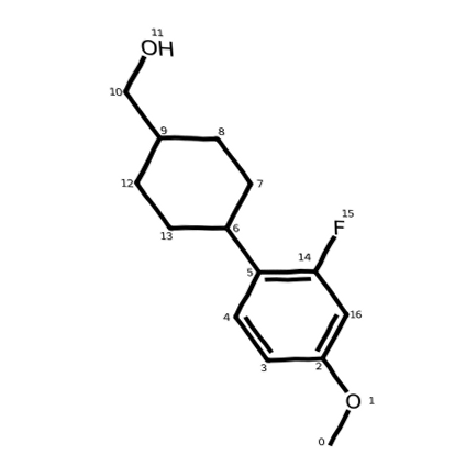 COc1ccc(C2CCC(CO)CC2)c(F)c1